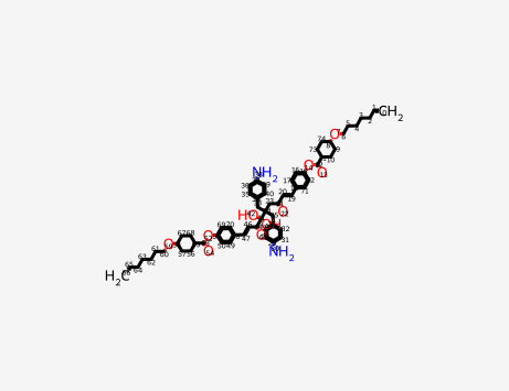 C=CCCCCCOC1CCC(C(=O)Oc2ccc(/C=C/C(=O)CC(Cc3ccc(N)cc3)(Cc3ccc(N)cc3)C(O)(O)C(=O)/C=C/c3ccc(OC(=O)C4CCC(OCCCCCC=C)CC4)cc3)cc2)CC1